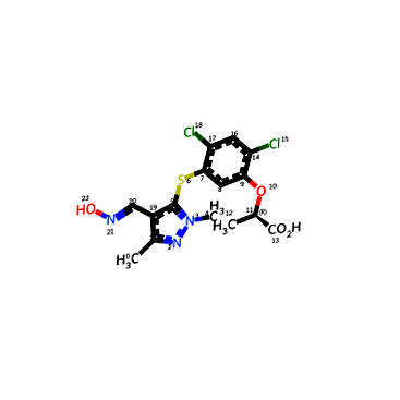 Cc1nn(C)c(Sc2cc(O[C@H](C)C(=O)O)c(Cl)cc2Cl)c1C=NO